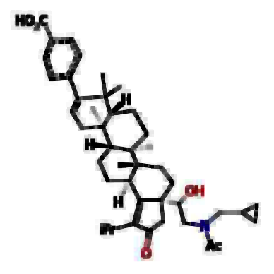 CC(=O)N(CC1CC1)CC(O)[C@@]12CC[C@]3(C)[C@H](CC[C@@H]4[C@@]5(C)CC=C(c6ccc(C(=O)O)cc6)C(C)(C)[C@@H]5CC[C@]43C)C1=C(C(C)C)C(=O)C2